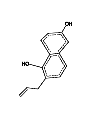 C=CCc1ccc2cc(O)ccc2c1O